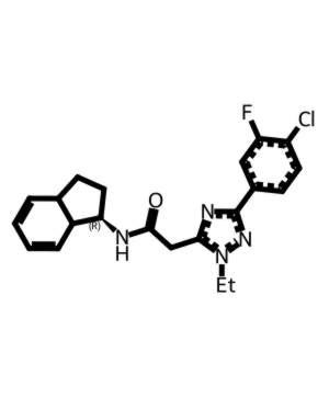 CCn1nc(-c2ccc(Cl)c(F)c2)nc1CC(=O)N[C@@H]1CCC2C=CC=CC21